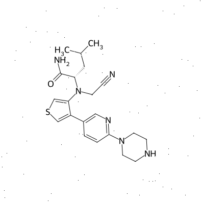 CC(C)C[C@@H](C(N)=O)N(CC#N)c1cscc1-c1ccc(N2CCNCC2)nc1